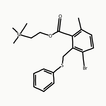 Cc1ccc(Br)c(CSc2ccccc2)c1C(=O)OCC[Si](C)(C)C